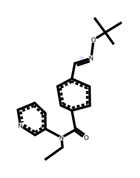 CCN(C(=O)c1ccc(/C=N/OC(C)(C)C)cc1)c1cccnc1